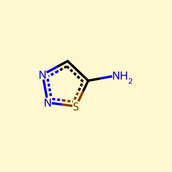 Nc1cnns1